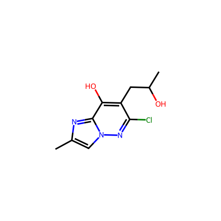 Cc1cn2nc(Cl)c(CC(C)O)c(O)c2n1